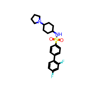 O=S(=O)(NC1CCC(N2CCCC2)CC1)c1ccc(-c2ccc(F)cc2F)cc1